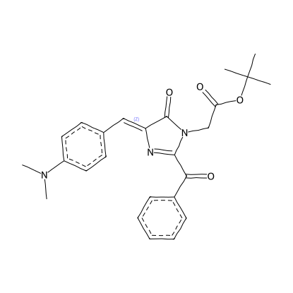 CN(C)c1ccc(/C=C2\N=C(C(=O)c3ccccc3)N(CC(=O)OC(C)(C)C)C2=O)cc1